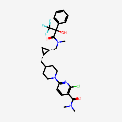 CN(C)C(=O)c1ccc(N2CCC(C[C@@H]3C[C@@H]3CN(C)C(=O)C(O)(c3ccccc3)C(F)(F)F)CC2)nc1Cl